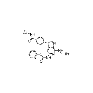 CC(C)CNc1nc(NC(=O)Oc2ccccn2)cn2c(-c3ccc(C(=O)NC4CC4)cc3)cnc12